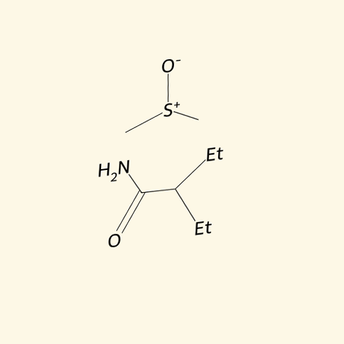 CCC(CC)C(N)=O.C[S+](C)[O-]